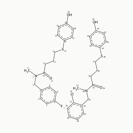 CN(Cc1ccc(F)cc1)C(=O)CCCSc1ccc(O)cc1.CN(Cc1ccccc1Cl)C(=O)CCCSc1ccc(O)cc1